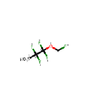 O=S(=O)(O)C(F)(F)C(F)(F)OCF